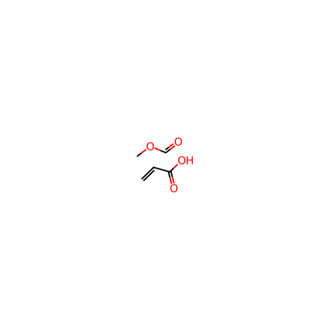 C=CC(=O)O.COC=O